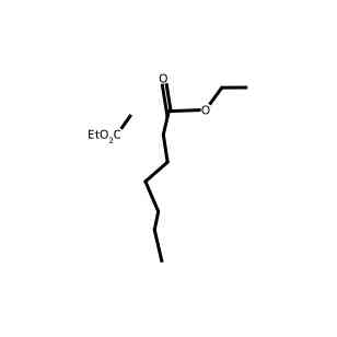 CCCCCCC(=O)OCC.CCOC(C)=O